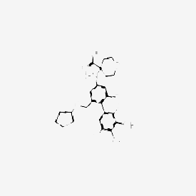 Cc1cc(-c2c(F)cc(NC3(C(=O)O)CCOCC3)cc2COC2CCCC2)c(F)c(C)c1C